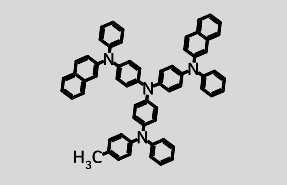 Cc1ccc(N(c2ccccc2)c2ccc(N(c3ccc(N(c4ccccc4)c4ccc5ccccc5c4)cc3)c3ccc(N(c4ccccc4)c4ccc5ccccc5c4)cc3)cc2)cc1